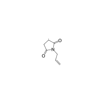 C=CCN1C(=O)[CH]CC1=O